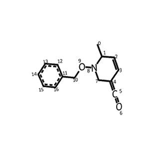 CC1C=CC(=C=O)CN1OCc1ccccc1